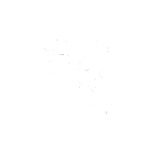 CN1C(=O)C2(CCC2)c2c1cnc1ccc(-c3cnc(N4CC5CNCC5C4)c(NS(C)(=O)=O)c3)cc21.O=CO